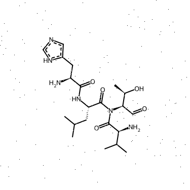 CC(C)C[C@H](NC(=O)[C@@H](N)Cc1cnc[nH]1)C(=O)N(C(=O)[C@@H](N)C(C)C)[C@H]([C]=O)[C@@H](C)O